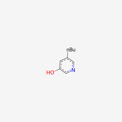 CCCCc1cncc(O)c1